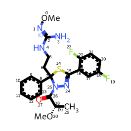 CO/N=C(\N)NCCC1(c2ccccc2)SC(c2cc(F)ccc2F)=NN1C(=O)[C@H](C)OC